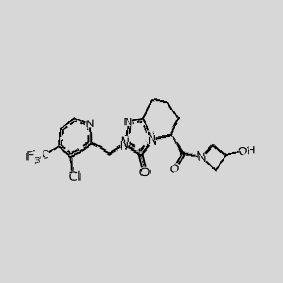 O=C([C@@H]1CCCc2nn(Cc3nccc(C(F)(F)F)c3Cl)c(=O)n21)N1CC(O)C1